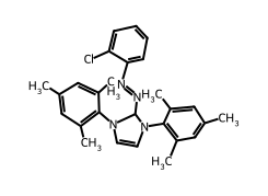 Cc1cc(C)c(N2C=CN(c3c(C)cc(C)cc3C)C2N=Nc2ccccc2Cl)c(C)c1